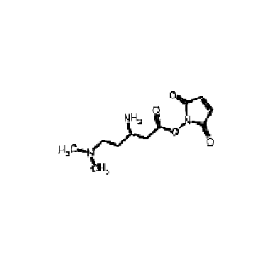 CN(C)CCC(N)CC(=O)ON1C(=O)C=CC1=O